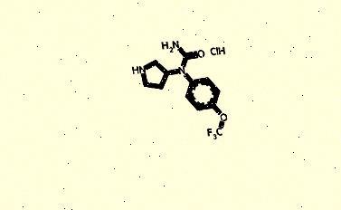 Cl.NC(=O)N(c1ccc(OC(F)(F)F)cc1)C1CCNC1